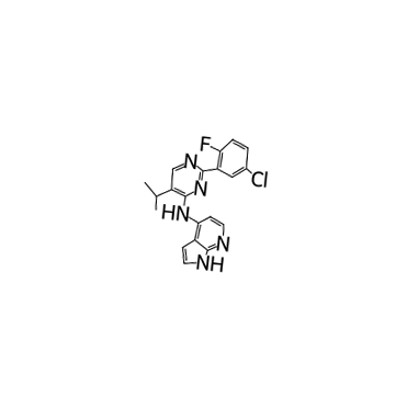 CC(C)c1cnc(-c2cc(Cl)ccc2F)nc1Nc1ccnc2[nH]ccc12